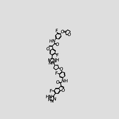 O=C(Nc1ccc(OC2CCC([n+]3nnc(-c4cc5occ(C(=O)Nc6ccc(O[C@H]7CCOC7)c(F)c6)c5cc4F)[nH]3)C2)c(F)c1)c1coc2cc(-c3nnn[nH]3)c(F)cc12